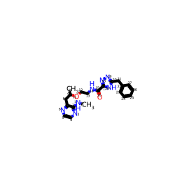 CNc1nccnc1CC(C)OCCNC(=O)c1nnc(Cc2ccccc2)[nH]1